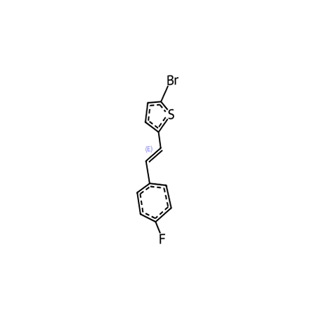 Fc1ccc(/C=C/c2ccc(Br)s2)cc1